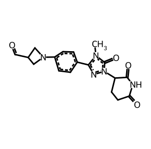 Cn1c(-c2ccc(N3CC(C=O)C3)cc2)nn(C2CCC(=O)NC2=O)c1=O